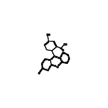 O=C(O)C1=CC(O)=CCC1c1c2ccc(=O)cc-2oc2ccccc12